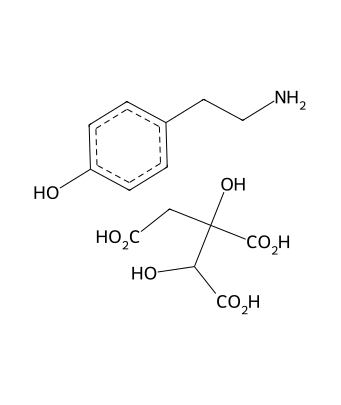 NCCc1ccc(O)cc1.O=C(O)CC(O)(C(=O)O)C(O)C(=O)O